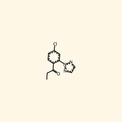 CCC(=O)c1ccc(Cl)cc1-n1nccn1